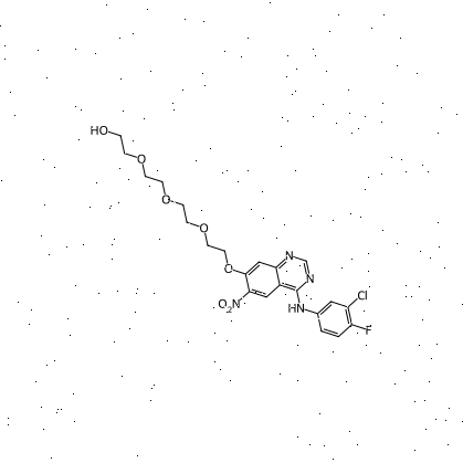 O=[N+]([O-])c1cc2c(Nc3ccc(F)c(Cl)c3)ncnc2cc1OCCOCCOCCOCCO